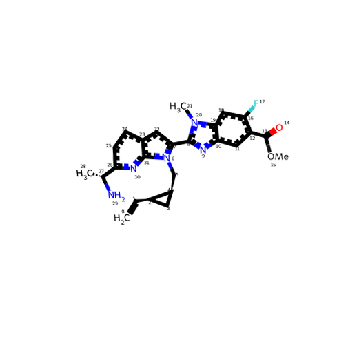 C=C[C@@H]1C[C@@H]1Cn1c(-c2nc3cc(C(=O)OC)c(F)cc3n2C)cc2ccc([C@@H](C)N)nc21